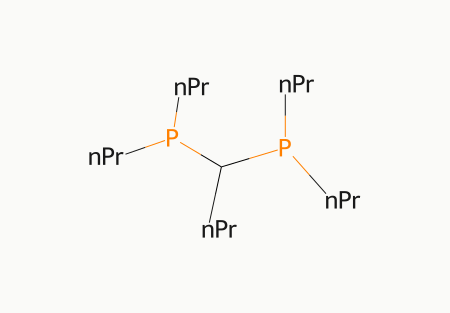 CCCC(P(CCC)CCC)P(CCC)CCC